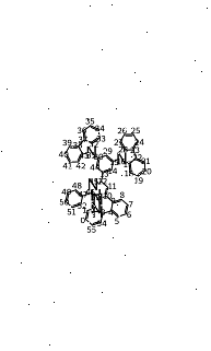 C1=CNC(c2ccccc2C2=CC(c3cc(-n4c5ccccc5c5ccccc54)cc(-n4c5ccccc5c5ccccc54)c3)=NC(c3ccccc3)N2)C=C1